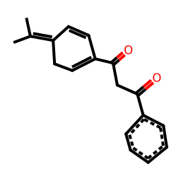 CC(C)=C1C=CC(C(=O)CC(=O)c2ccccc2)=CC1